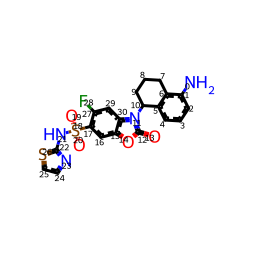 Nc1cccc2c1CCCC2n1c(=O)oc2cc(S(=O)(=O)Nc3nccs3)c(F)cc21